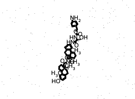 C[C@]1(C(=O)NC(=O)[C@@]2(C)CCC[C@]3(C)c4cc(NC(=O)[C@H](CO)NC(=O)OCc5ccc(N)cc5)ccc4CC[C@@H]23)CCC[C@]2(C)c3cc(O)ccc3CC[C@@H]12